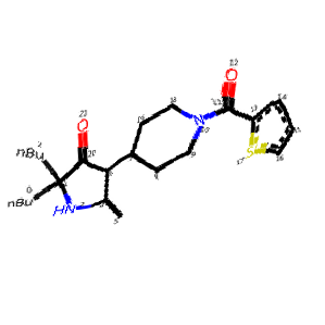 CCCCC1(CCCC)NC(C)C(C2CCN(C(=O)c3cccs3)CC2)C1=O